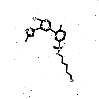 Cc1cc(-c2cc(-c3cc(S(=O)(=O)NCCCCCO)ccc3C)cnc2N)on1